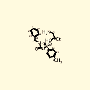 CCC(O)CN.Cc1ccc(S(=O)(=O)OC(=O)OCc2ccccc2)cc1